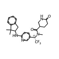 CN(C(=O)C1CCC(=O)NC1)[C@@H](c1ccc(NC2Cc3ccccc3C2(C)C)nc1)C(F)(F)F